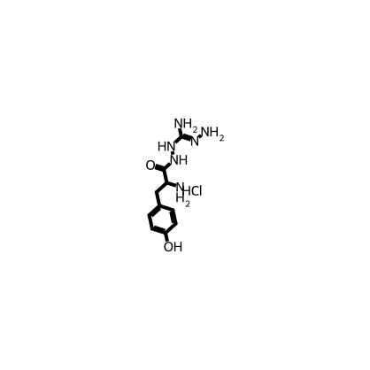 Cl.NN=C(N)NNC(=O)C(N)Cc1ccc(O)cc1